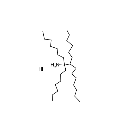 CCCCCCCC(CCCCCC)C(N)(CCCCCCC)CCCCCCC.I